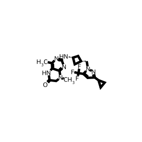 Cc1nc(N[C@H]2C[C@@H](Cn3nc(C4CC4)cc3C(F)(F)F)C2)nc2c1NC(=O)CN2C